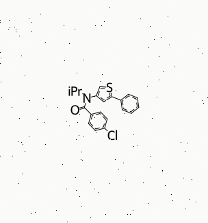 CC(C)N(C(=O)c1ccc(Cl)cc1)c1csc(-c2ccccc2)c1